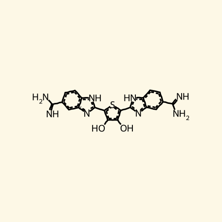 N=C(N)c1ccc2[nH]c(-c3sc(-c4nc5cc(C(=N)N)ccc5[nH]4)c(O)c3O)nc2c1